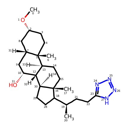 CO[C@@H]1CC[C@@]2(C)[C@@H](C1)C[C@@H](O)[C@@H]1[C@@H]2CC[C@]2(C)C([C@H](C)CCc3nnn[nH]3)CC[C@@H]12